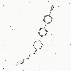 N#Cc1ccc(-c2ccc([C@H]3CC[C@H](CCC/C=C/F)CC3)cc2)cc1